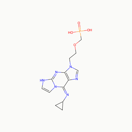 O=P(O)(O)COCCn1cnc2c(=NC3CC3)n3cc[nH]c3nc21